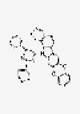 C1=Cc2ccc3c4cc5c(cc4n(-c4cc(-c6ccccc6)nc(-c6ccccc6)n4)c3c2CC1)Oc1ccccc1O5